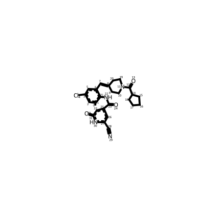 Cc1cc(Cl)cc(C=C2CCN(C(=O)C3CCCC3)CC2)c1NC(=O)c1cc(C#N)[nH]c(=O)c1